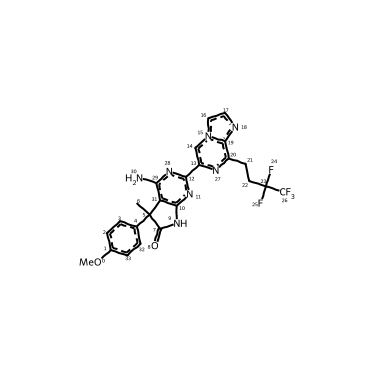 COc1ccc(C2(C)C(=O)Nc3nc(-c4cn5ccnc5c(CCC(F)(F)C(F)(F)F)n4)nc(N)c32)cc1